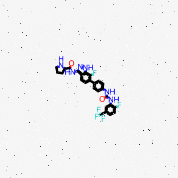 O=C(Nc1ccc(-c2ccc3c(NC(=O)C4CCCN4)n[nH]c3c2F)cc1)Nc1cc(C(F)(F)F)ccc1F